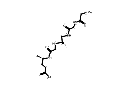 C=C(CC)CC[C@@H](C)NC(=O)CNC(=O)CNC(=O)CNC(=O)CNC